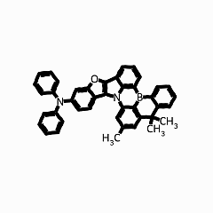 Cc1cc2c3c(c1)C(C)(C)c1ccccc1B3c1cccc3c4oc5cc(N(c6ccccc6)c6ccccc6)ccc5c4n-2c13